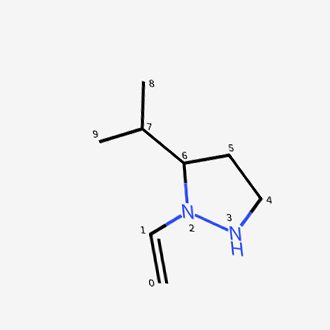 C=CN1NCCC1C(C)C